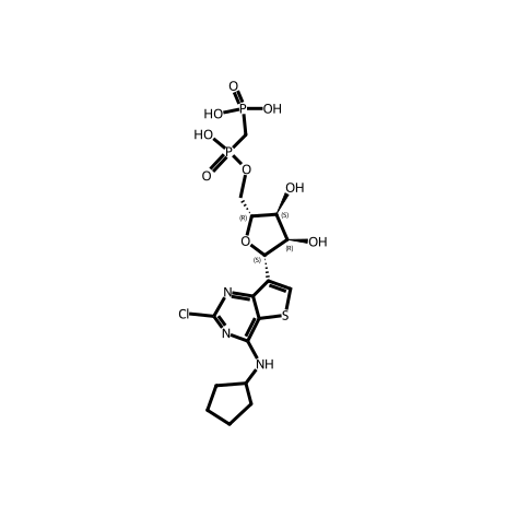 O=P(O)(O)CP(=O)(O)OC[C@H]1O[C@@H](c2csc3c(NC4CCCC4)nc(Cl)nc23)[C@H](O)[C@@H]1O